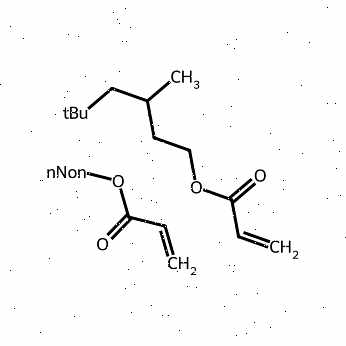 C=CC(=O)OCCC(C)CC(C)(C)C.C=CC(=O)OCCCCCCCCC